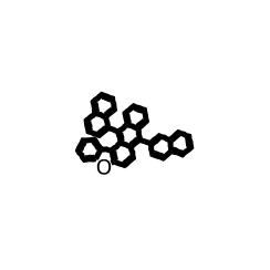 c1ccc2cc(-c3c4ccccc4c(-c4cccc5ccccc45)c4c3ccc3oc5ccccc5c34)ccc2c1